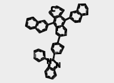 c1ccc([N+]2=c3ccccc3=NC2c2ccc(-c3ccc4c(-c5ccc6ccccc6c5)c5ccccc5c(-c5ccc6ccccc6c5)c4c3)cc2)cc1